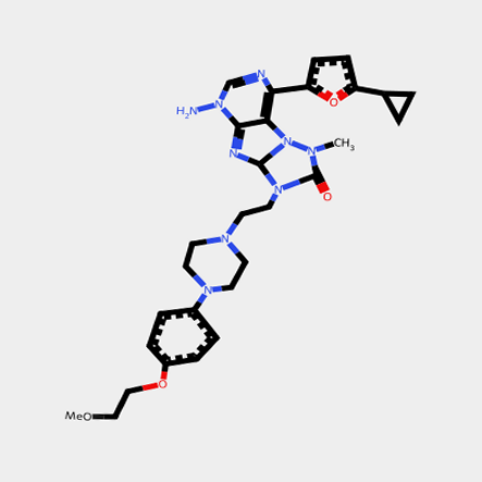 COCCOc1ccc(N2CCN(CCN3C(=O)N(C)N4C5=C(c6ccc(C7CC7)o6)N=CN(N)C5=NC34)CC2)cc1